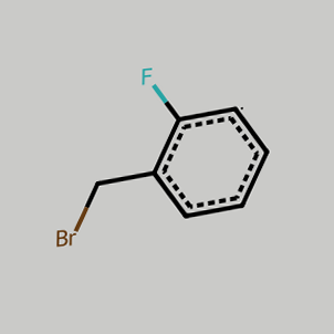 Fc1[c]cccc1CBr